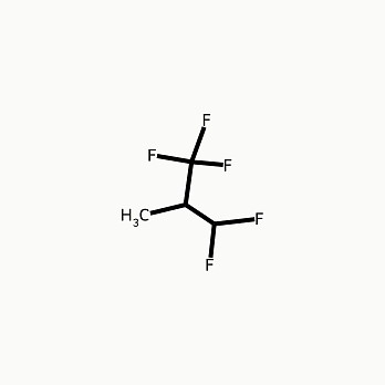 CC(C(F)F)C(F)(F)F